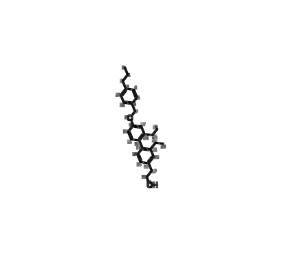 CCCc1ccc(COc2ccc(-c3ccc(CCO)cc3CC)c(CC)c2)cc1